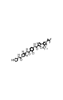 Cn1c(-c2cn(C3CC3(F)F)nc2C(F)(F)F)cnc1C(=O)Nc1ccc(C(=O)N[C@H]2[C@@H]3CN(C(=O)N[C@H]4CCNC4)C[C@@H]32)c(Cl)c1